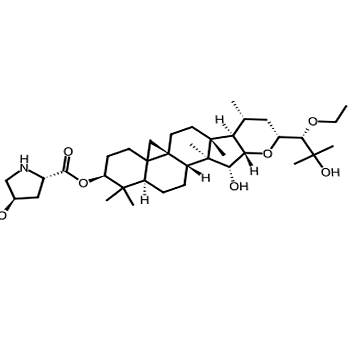 CCO[C@@H]([C@H]1C[C@@H](C)[C@H]2[C@H](O1)[C@H](O)[C@@]1(C)[C@@H]3CC[C@H]4C(C)(C)[C@@H](OC(=O)[C@@H]5C[C@@H](O)CN5)CCC45C[C@@]35CC[C@]21C)C(C)(C)O